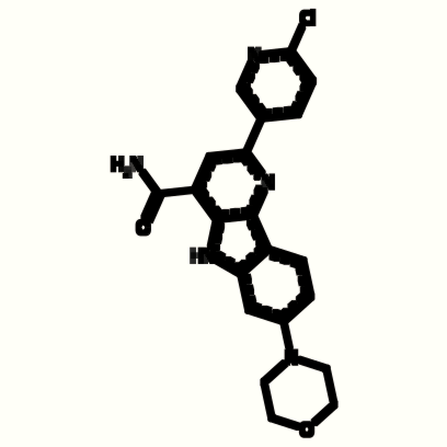 NC(=O)c1cc(-c2ccc(Cl)nc2)nc2c1[nH]c1cc(N3CCOCC3)ccc12